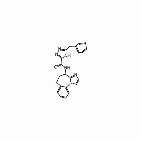 O=C(NC1CCc2ccccc2-n2ccnc21)c1nnc(Cc2ccccc2)[nH]1